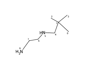 CC(C)(C)CNCCN